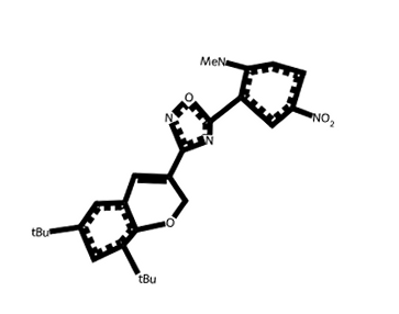 CNc1ccc([N+](=O)[O-])cc1-c1nc(C2=Cc3cc(C(C)(C)C)cc(C(C)(C)C)c3OC2)no1